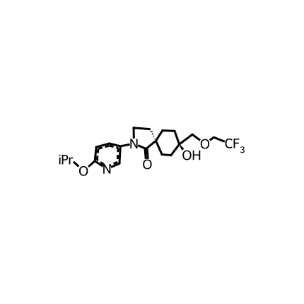 CC(C)Oc1ccc(N2CC[C@]3(CC[C@@](O)(COCC(F)(F)F)CC3)C2=O)cn1